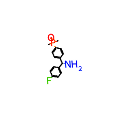 CP(C)(=O)c1ccc([C@H](N)c2ccc(F)cc2)cc1